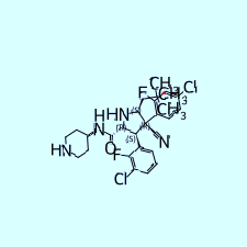 CC(C)(C)C[C@@H]1N[C@@H](C(=O)NC2CCNCC2)[C@H](c2cccc(Cl)c2F)[C@@]1(C#N)c1ccc(Cl)cc1F